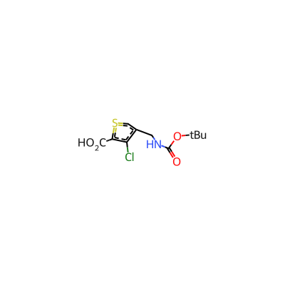 CC(C)(C)OC(=O)NCc1csc(C(=O)O)c1Cl